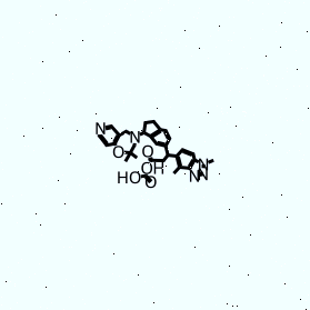 Cc1c(C(CC(=O)O)c2ccc3c(c2)C(N2Cc4cnccc4OC(C)(C)C2)CC3)ccc2c1nnn2C.O=CO